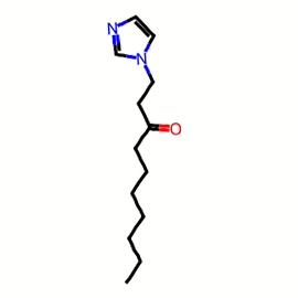 CCCCCCCC(=O)CCn1ccnc1